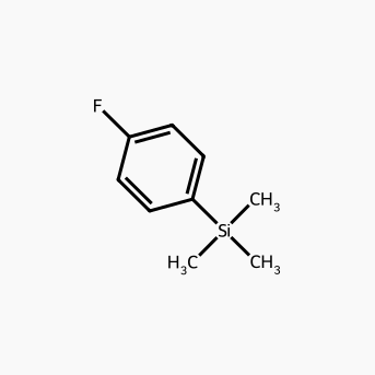 C[Si](C)(C)c1ccc(F)cc1